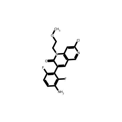 COCCn1c(=O)c(-c2c(F)ccc(N)c2F)cc2cnc(Cl)cc21